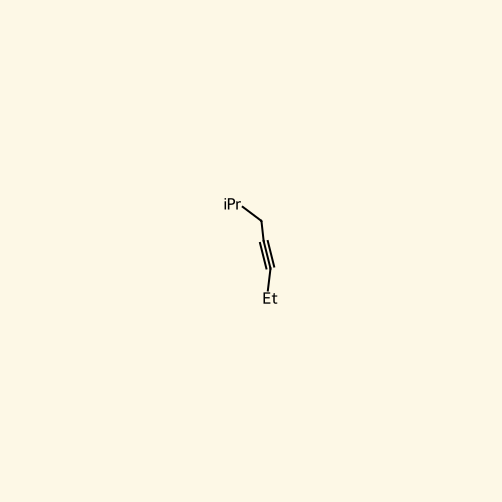 [CH2]C(C)CC#CCC